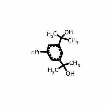 CCCc1cc(C(C)(C)O)cc(C(C)(C)O)c1